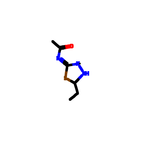 CCC1N[N]C(=NC(C)=O)S1